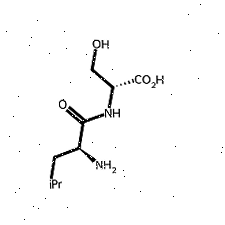 CC(C)C[C@H](N)C(=O)N[C@H](CO)C(=O)O